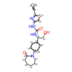 C#Cc1nc(NC(=O)NC(CO)c2ccc(N3CCCCCC3=O)cc2)cs1